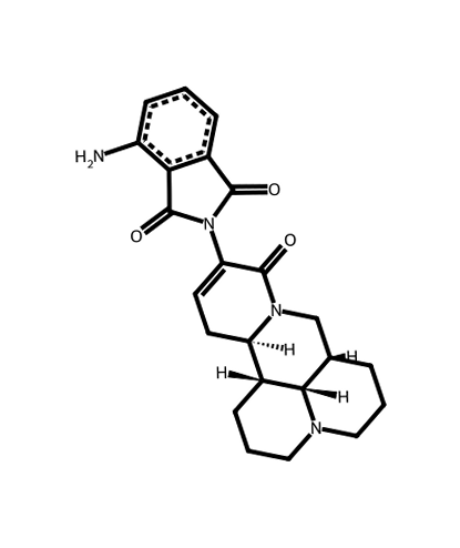 Nc1cccc2c1C(=O)N(C1=CC[C@@H]3[C@H]4CCCN5CCC[C@@H](CN3C1=O)[C@@H]45)C2=O